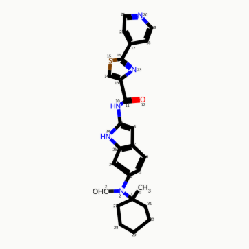 CC1(N(C=O)c2ccc3cc(NC(=O)c4csc(-c5ccncc5)n4)[nH]c3c2)CCCCC1